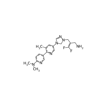 Cc1cc(N2C=NN(CC(CN)=C(F)F)C2)cnc1-c1ccc(N(C)C)nc1